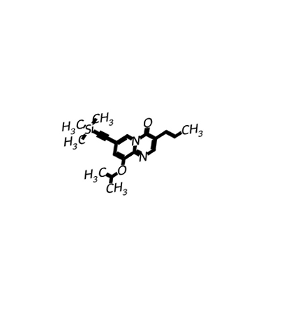 CCCc1cnc2c(OC(C)C)cc(C#C[Si](C)(C)C)cn2c1=O